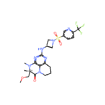 COC[C@@]1(C)C(=O)N2CCCc3nc(NC4CN(S(=O)(=O)c5ccc(C(F)(F)F)nc5)C4)nc(c32)N1C